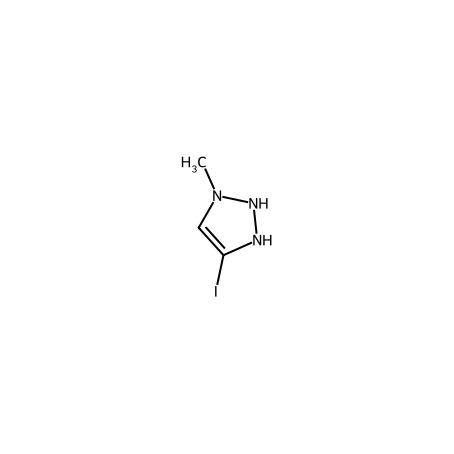 CN1C=C(I)NN1